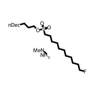 CCCCCCCCCCCCCOS(=O)(=O)CCCCCCCCCCCF.CNC.N